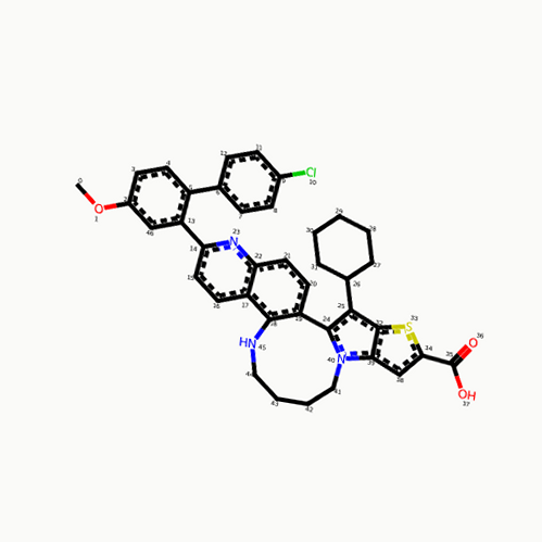 COc1ccc(-c2ccc(Cl)cc2)c(-c2ccc3c4c(ccc3n2)-c2c(C3CCCCC3)c3sc(C(=O)O)cc3n2CCCCN4)c1